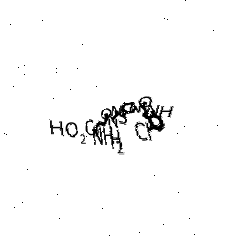 N[C@@H](CCC(=O)Nc1nc2c(s1)CN(C(=O)c1cc3c(Cl)cccc3[nH]1)CC2)C(=O)O